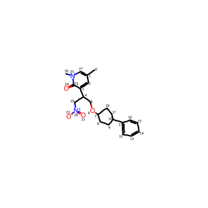 Cc1cc(C(COC2CCC(c3ccccc3)CC2)C[N+](=O)[O-])c(=O)n(C)c1